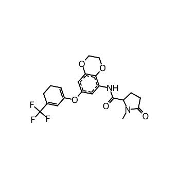 CN1C(=O)CCC1C(=O)Nc1cc(OC2=CCCC(C(F)(F)F)=C2)cc2c1OCCO2